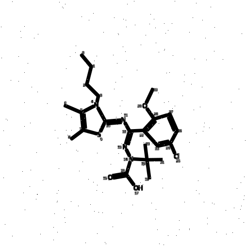 CCCCn1c(C)c(C)sc1=NC(=NN(C(=O)O)C(C)(C)C)c1cc(Cl)ccc1OC